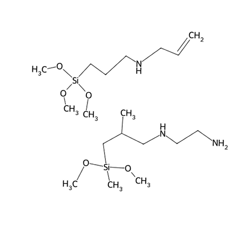 C=CCNCCC[Si](OC)(OC)OC.CO[Si](C)(CC(C)CNCCN)OC